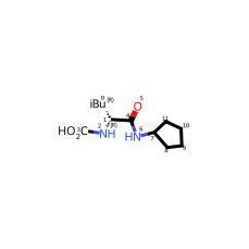 CC[C@@H](C)[C@@H](NC(=O)O)C(=O)NC1CCCC1